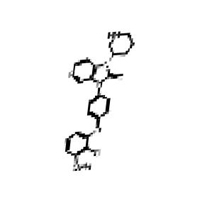 COc1cccc(Oc2ccc(-n3c(=O)n([C@H]4CCCNC4)c4ccncc43)cc2)c1Cl